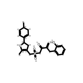 C=C(Cc1ccccc1O)C(=O)CS(=O)(=O)CC1=C(C)OC(C2=CCC(C)C=C2)C1